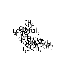 CC[C@H](C)C(NN[C@H](C(=O)C(=O)OC(C)(C)C)C(C)C)C(=O)N[C@@H](C)C(=O)C(F)(F)C(=O)NN[C@H](C(=O)NC(C(=O)OC)[C@@H](C)CC)C(C)C